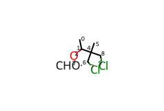 CC(O[C]=O)C(C)(CCl)CCl